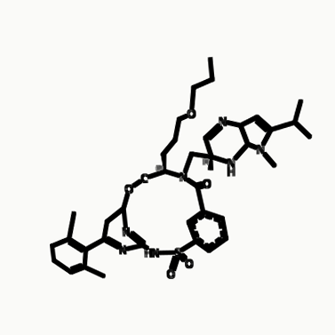 CCCOCCC[C@@H]1COC2CC(C3=C(C)CCC=C3C)=NC(=N2)NS(=O)(=O)c2cccc(c2)C(=O)N1C[C@]1(C)C=NC2C=C(C(C)C)N(C)C2N1